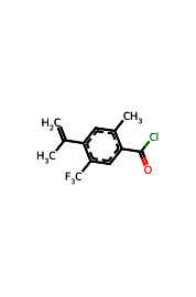 C=C(C)c1cc(C)c(C(=O)Cl)cc1C(F)(F)F